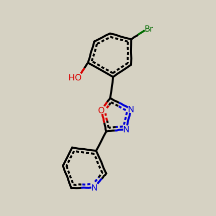 Oc1ccc(Br)cc1-c1nnc(-c2cccnc2)o1